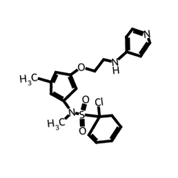 Cc1cc(OCCNc2ccncc2)cc(N(C)S(=O)(=O)C2(Cl)C=CC=CC2)c1